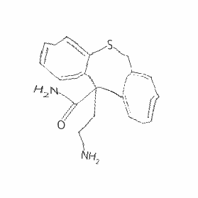 NCCC1(C(N)=O)c2ccccc2CSc2ccccc21